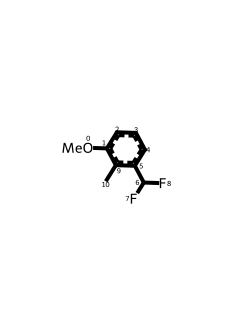 COc1cccc(C(F)F)c1C